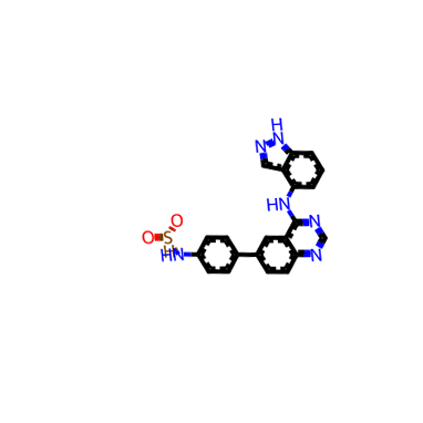 O=[SH](=O)Nc1ccc(-c2ccc3ncnc(Nc4cccc5[nH]ncc45)c3c2)cc1